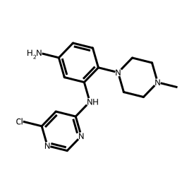 CN1CCN(c2ccc(N)cc2Nc2cc(Cl)ncn2)CC1